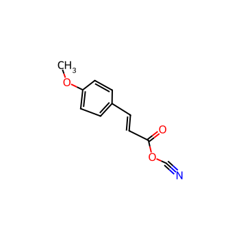 COc1ccc(C=CC(=O)OC#N)cc1